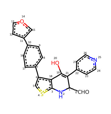 O=CC1Nc2scc(-c3ccc(-c4ccoc4)cc3)c2C(O)=C1c1ccncc1